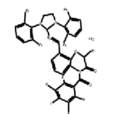 CC(C)c1cccc(C(C)C)c1N1CCN(c2c(C(C)C)cccc2C(C)C)[CH]1/[Ru]=[CH]/c1cccc2c1OC(C(C)C)C(=O)N2C(=O)c1c(F)c(F)c(F)c(F)c1F.Cl